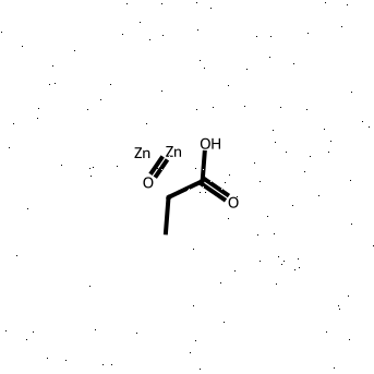 CCC(=O)O.[O]=[Zn].[Zn]